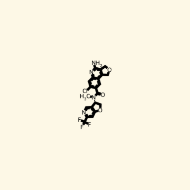 CN(C(=O)c1cc2c3c(c(N)nc2cc1Cl)COC3)[C@@H]1COc2cc(C(F)(F)F)ncc21